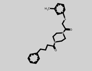 Cc1cccc(SCC(=O)N2CCN(C(=O)CCCc3ccccc3)CC2)c1